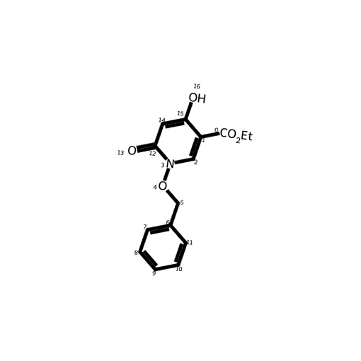 CCOC(=O)c1cn(OCc2ccccc2)c(=O)cc1O